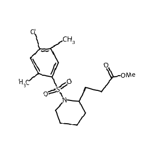 COC(=O)CCC1CCCCN1S(=O)(=O)c1cc(C)c(Cl)cc1C